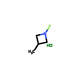 CC1CN(F)C1.Cl